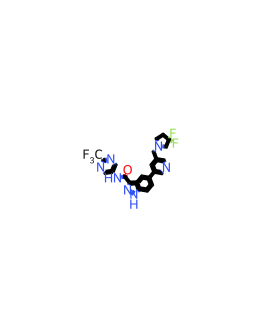 O=C(Nc1cnc(C(F)(F)F)nc1)c1n[nH]c2ccc(-c3cncc(CN4CCC(F)(F)C4)c3)cc12